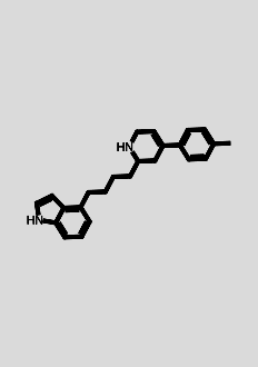 Cc1ccc(C2=CCNC(CCCCc3cccc4[nH]ccc34)C2)cc1